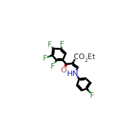 CCOC(=O)/C(=C/Nc1ccc(F)cc1)C(=O)c1cc(F)c(F)c(F)c1F